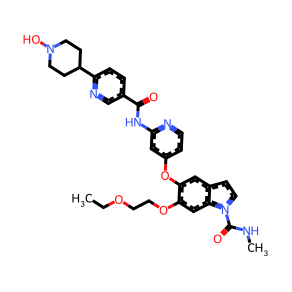 CCOCCOc1cc2c(ccn2C(=O)NC)cc1Oc1ccnc(NC(=O)c2ccc(C3CCN(O)CC3)nc2)c1